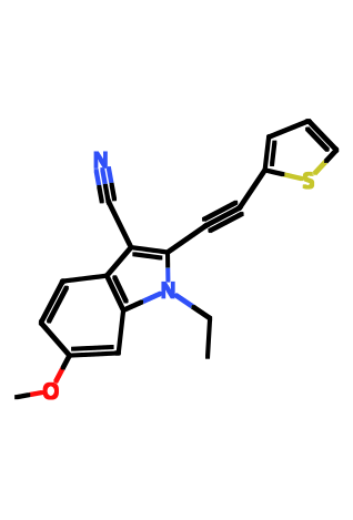 CCn1c(C#Cc2cccs2)c(C#N)c2ccc(OC)cc21